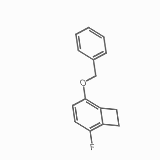 Fc1ccc(OCc2ccccc2)c2c1CC2